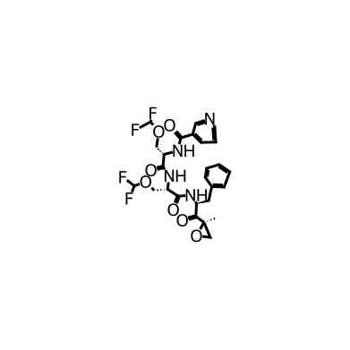 C[C@]1(C(=O)[C@H](Cc2ccccc2)NC(=O)[C@H](COC(F)F)NC(=O)[C@H](COC(F)F)NC(=O)c2cccnc2)CO1